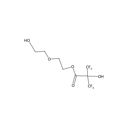 O=C(OCCOCCO)C(O)(C(F)(F)F)C(F)(F)F